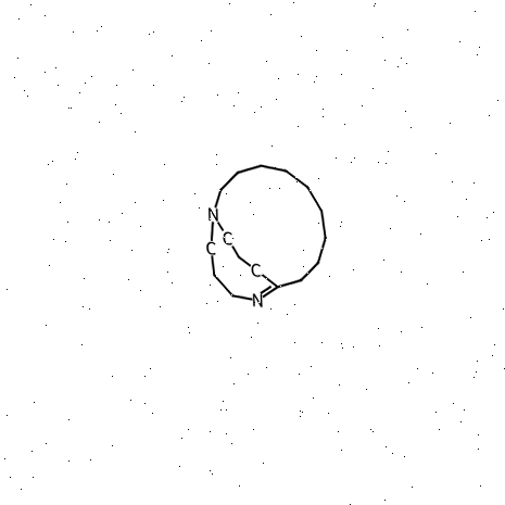 C1CCCCC2=NCCCN(CCCC1)CCC2